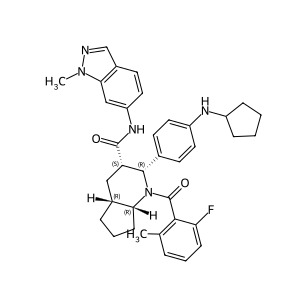 Cc1cccc(F)c1C(=O)N1[C@@H]2CCC[C@@H]2C[C@H](C(=O)Nc2ccc3cnn(C)c3c2)[C@@H]1c1ccc(NC2CCCC2)cc1